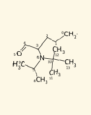 [CH2]CCC(C=O)N(C(C)C)C(C)(C)C